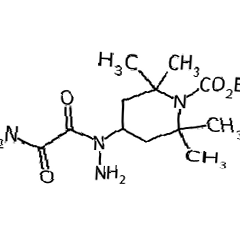 CCOC(=O)N1C(C)(C)CC(N(N)C(=O)C(N)=O)CC1(C)C